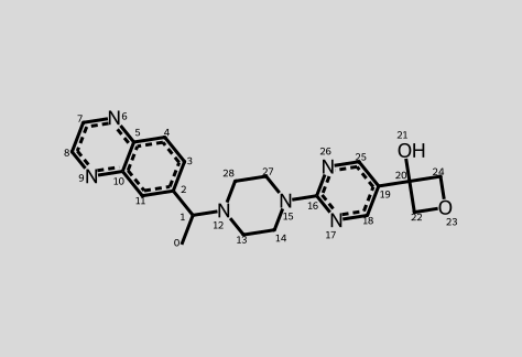 CC(c1ccc2nccnc2c1)N1CCN(c2ncc(C3(O)COC3)cn2)CC1